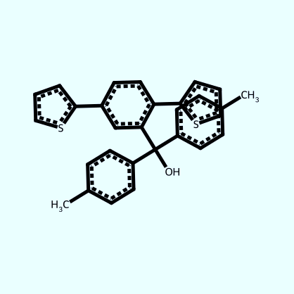 Cc1ccc(C(O)(c2ccc(C)cc2)c2cc(-c3cccs3)ccc2-c2cccs2)cc1